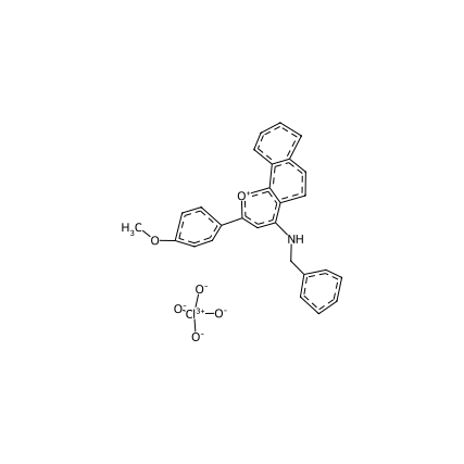 COc1ccc(-c2cc(NCc3ccccc3)c3ccc4ccccc4c3[o+]2)cc1.[O-][Cl+3]([O-])([O-])[O-]